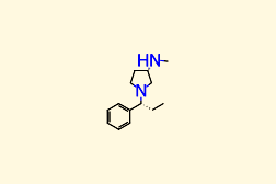 CC[C@H](c1ccccc1)N1CC[C@H](NC)C1